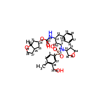 Cc1ccc(S(=O)(=O)N(C[C@@H](O)[C@H](Cc2ccccc2)NC(=O)O[C@@H]2CC3CCO[C@@H]3C2)C2CCOC2)cc1CO